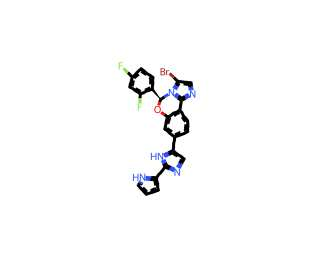 Fc1ccc([C@@H]2Oc3cc(-c4cnc(-c5ccc[nH]5)[nH]4)ccc3-c3ncc(Br)n32)c(F)c1